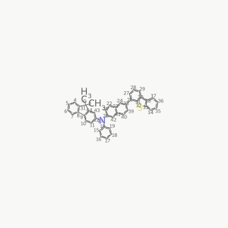 CC1(C)c2ccccc2-c2ccc(N(c3ccccc3)c3ccc4cc(-c5cccc6c5sc5ccccc56)ccc4c3)cc21